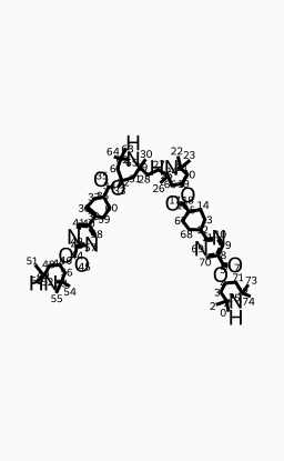 CC1(C)CC(OC(=O)c2cnc(C3CCC(C(=O)OC4CC(C)(C)NC(C)(CCC5(C)CC(OC(=O)C6CC=C(c7cnc(C(=O)OC8CC(C)(C)NC(C)(C)C8)nc7)CC6)CC(C)(C)N5)C4)CC3)nc2)CC(C)(C)N1